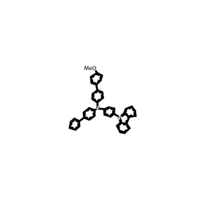 COc1ccc(-c2ccc(N(c3ccc(-c4ccccc4)cc3)c3ccc(-n4c5ccccc5c5ccccc54)cc3)cc2)cc1